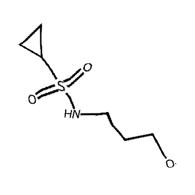 [O]CCCNS(=O)(=O)C1CC1